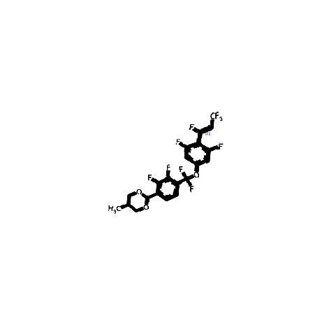 CC1COC(c2ccc(C(F)(F)Oc3cc(F)c(/C(F)=C/C(F)(F)F)c(F)c3)c(F)c2F)OC1